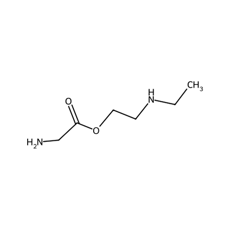 CCNCCOC(=O)CN